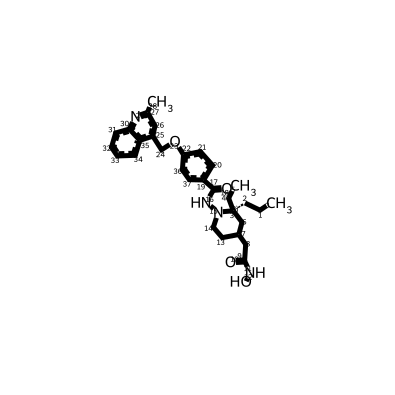 CCC[C@]1(CC)CC(CC(=O)NO)CCN1NC(=O)c1ccc(OCc2cc(C)nc3ccccc23)cc1